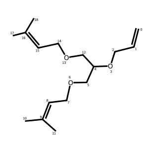 C=CCOC(COCC=C(C)C)COCC=C(C)C